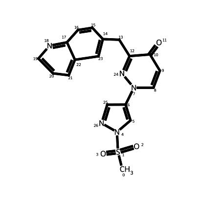 CS(=O)(=O)n1cc(-n2ccc(=O)c(Cc3ccc4ncccc4c3)n2)cn1